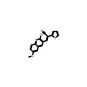 COc1ccc2nc(Cl)c(/C=C(\C#N)c3cccs3)cc2c1